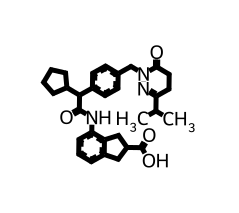 CC(C)C1=NN(Cc2ccc(C(C(=O)Nc3cccc4c3CC(C(=O)O)C4)C3CCCC3)cc2)C(=O)CC1